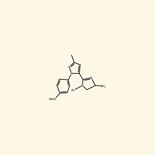 COc1ccc(-n2nc(C)cc2C2=NC(N)CN2C(C)=O)cc1